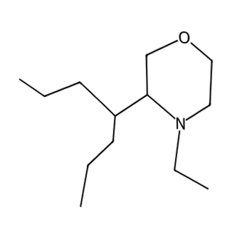 CCCC(CCC)C1COCCN1CC